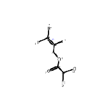 O=C(OC/C(I)=C(/Br)I)C(Cl)Cl